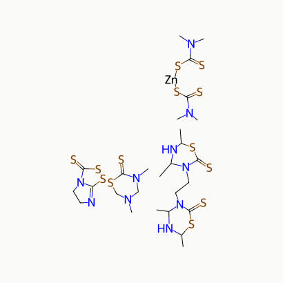 CC1NC(C)N(CCN2C(=S)SC(C)NC2C)C(=S)S1.CN(C)C(=S)[S][Zn][S]C(=S)N(C)C.CN1CSC(=S)N(C)C1.S=C1SSC2=NCCN12